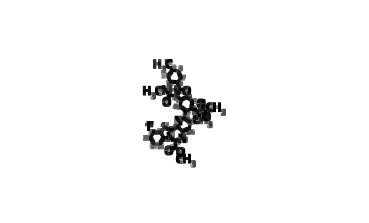 CNC(=O)c1c(-c2ccc(C)cc2)oc2cc(N(C)S(C)(=O)=O)c(-c3ccc4nc(C(=O)OC)n5c6cccc(F)c6cc5c4n3)cc12